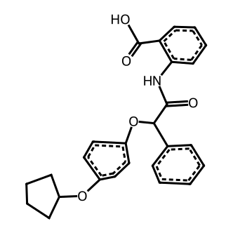 O=C(O)c1ccccc1NC(=O)C(Oc1ccc(OC2CCCC2)cc1)c1ccccc1